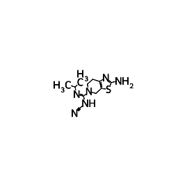 CC(C)/N=C(/NC#N)N1CCc2nc(N)sc2C1